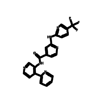 O=C(Nc1cnccc1-c1ccccn1)c1ccnc(Nc2ccc(C(F)(F)F)cn2)c1